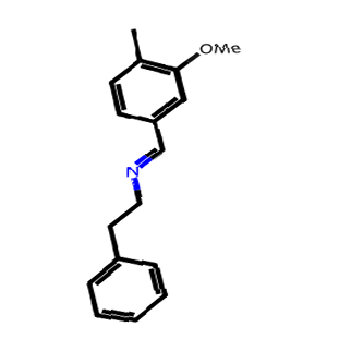 COc1cc(/C=N/CCc2ccccc2)ccc1C